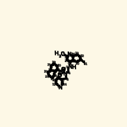 Cc1cc(NCCN(Cc2cccnc2)S(=O)(=O)c2cccc3ccccc23)c2cc(I)ccc2n1